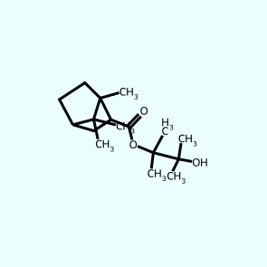 CC(C)(O)C(C)(C)OC(=O)C1CC2CCC1(C)C2(C)C